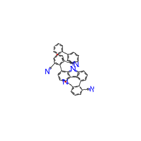 N#Cc1cccc(C#N)c1-c1cccc2c1c1cccc(-c3c(C#N)cccc3C#N)c1n2-c1cccc(-c2ccccc2)c1